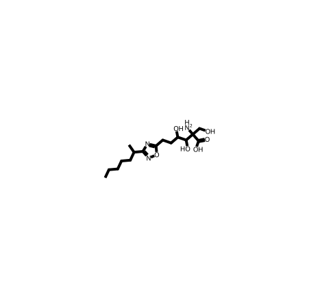 CCCCCC(C)c1noc(CCC(O)C(O)C(N)(CO)C(=O)O)n1